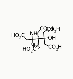 NC(N)(CC(=O)O)C(CC(=O)O)(CC(=O)O)C(O)(CC(=O)O)CC(=O)O